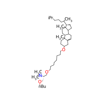 CCCCOC[C@@H](COCCCCCCCCO[C@H]1CC[C@@]2(C)C(=CCC3C2CC[C@@]2(C)C3CC[C@@H]2[C@H](C)CCCC(C)C)C1)N(C)C